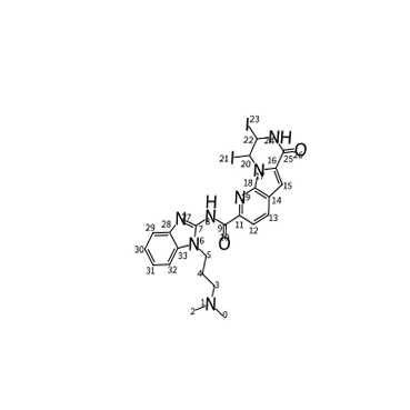 CN(C)CCCn1c(NC(=O)c2ccc3cc4n(c3n2)C(I)C(I)NC4=O)nc2ccccc21